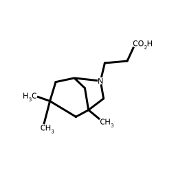 CC1(C)CC2CC(C)(CN2CCC(=O)O)C1